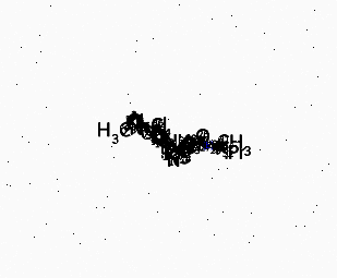 Cc1cccc(COc2ccc(Nc3ncnc4sc5c(c34)CCN(C(=O)/C=C/CN(C)C(C)C)C5)cc2Cl)n1